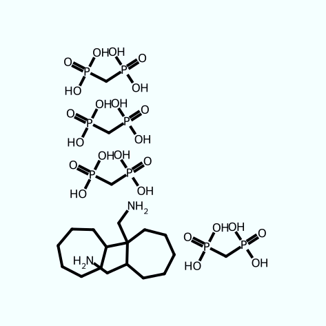 NCC1CCCCCC1(CN)C1CCCCCC1.O=P(O)(O)CP(=O)(O)O.O=P(O)(O)CP(=O)(O)O.O=P(O)(O)CP(=O)(O)O.O=P(O)(O)CP(=O)(O)O